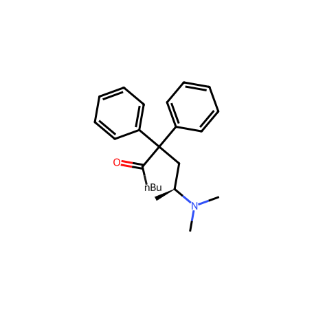 CCCCC(=O)C(C[C@H](C)N(C)C)(c1ccccc1)c1ccccc1